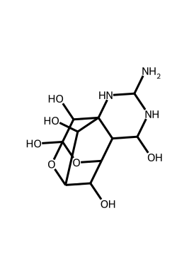 NC1NC(O)C2C3OC4(O)OC(C3O)C(O)C2(N1)C4O